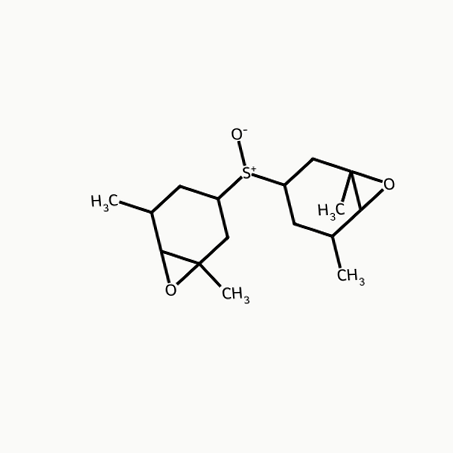 CC1CC([S+]([O-])C2CC(C)C3OC3(C)C2)CC2(C)OC12